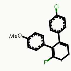 COc1ccc(C2=C(F)[CH]CC=C2c2ccc(Cl)cc2)cc1